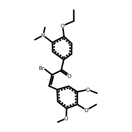 CCOc1ccc(C(=O)/C(Br)=C\c2cc(OC)c(OC)c(OC)c2)cc1N(C)C